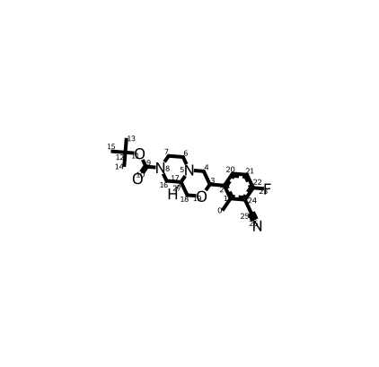 Cc1c(C2CN3CCN(C(=O)OC(C)(C)C)C[C@@H]3CO2)ccc(F)c1C#N